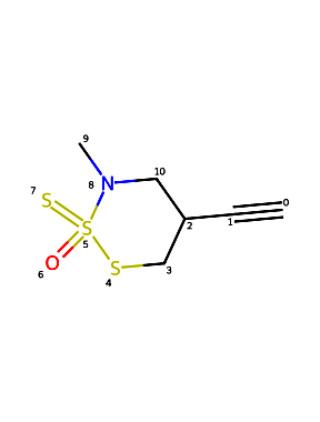 C#CC1CSS(=O)(=S)N(C)C1